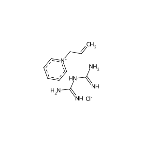 C=CC[n+]1ccccc1.N=C(N)NC(=N)N.[Cl-]